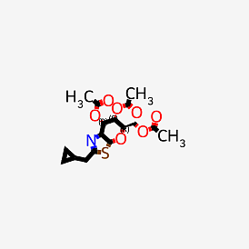 CC(=O)OC[C@H]1OC2SC(CC3CC3)=NC2[C@@H](OC(C)=O)[C@@H]1OC(C)=O